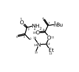 C=C(C)C(N)=O.C=C(CCCC)C(=O)OC(CC)N(C)C